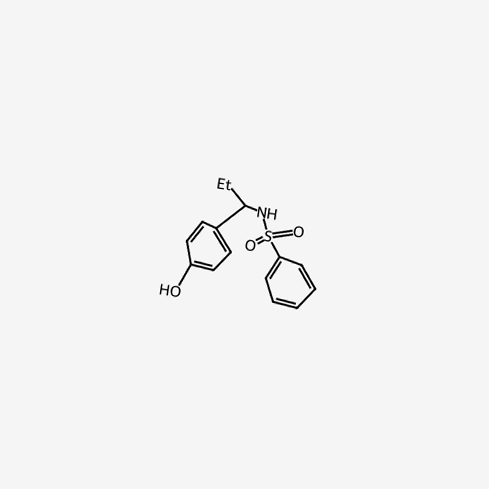 CCC(NS(=O)(=O)c1ccccc1)c1ccc(O)cc1